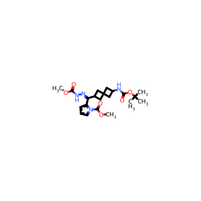 COC(=O)N/N=C(\c1cccn1C(=O)OC)C1CC2(CC(NC(=O)OC(C)(C)C)C2)C1